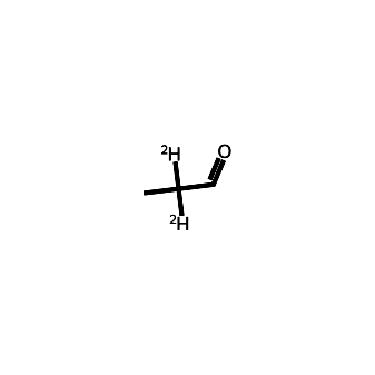 [2H]C([2H])(C)C=O